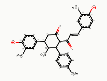 COc1ccc(C2C(C(=O)C=Cc3ccc(O)c(OC)c3)C(=O)CC(c3ccc(O)c(OC)c3)C2[N+](=O)[O-])cc1